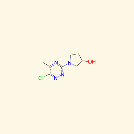 Cc1nc(N2CC[C@@H](O)C2)nnc1Cl